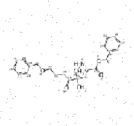 CC(C)(C[C@H](N)C(=O)OCc1ccccc1)C(=O)CCCOCc1ccccc1